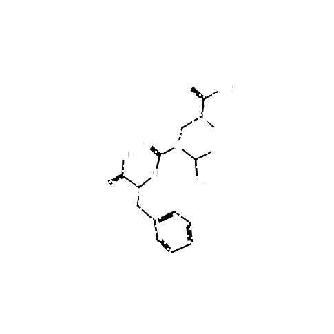 CC(C)N(C[C@H](O)C(=O)O)C(=O)N[C@@H](Cc1ccccc1)C(=O)O